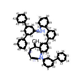 C=C1/C=C\C=C/N(c2cccc(-c3ccccc3)c2)c2ccc(-c3cccc(-c4ccccc4Nc4cc(-c5ccccc5)cc(-c5ccccc5)c4)c3)cc21